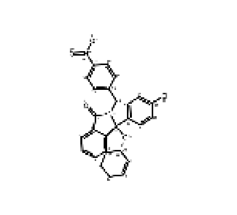 O=C1c2ccccc2C(O[C@@H]2C=CCCC2)(c2ccc(Cl)cc2)N1Cc1ccc([N+](=O)[O-])cc1